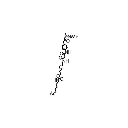 CN/C(C)=C\C(=O)Cc1ccc(NC(=O)CC(=O)NCCOCCCOC(=O)NCCCCCC(C)=O)cc1